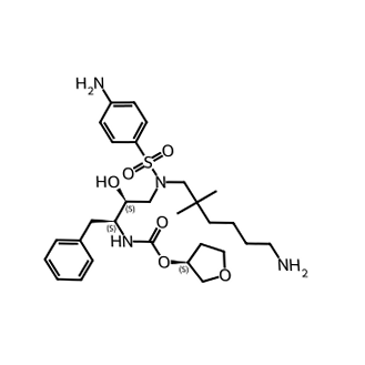 CC(C)(CCCCN)CN(C[C@H](O)[C@H](Cc1ccccc1)NC(=O)O[C@H]1CCOC1)S(=O)(=O)c1ccc(N)cc1